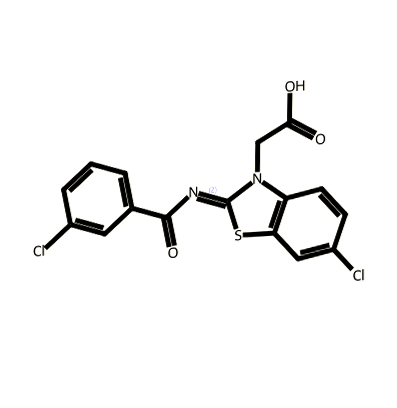 O=C(O)Cn1/c(=N/C(=O)c2cccc(Cl)c2)sc2cc(Cl)ccc21